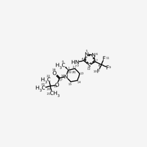 C[C@H]1[C@H](Nc2nnc(C(F)(F)F)s2)CCCN1C(=O)OC(C)(C)C